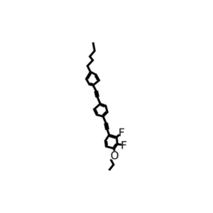 CCCCCc1ccc(C#Cc2ccc(C#Cc3ccc(OCCC)c(F)c3F)cc2)cc1